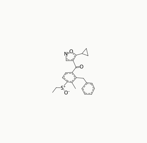 CC[S+]([O-])c1ccc(C(=O)c2cnoc2C2CC2)c(Cc2ccccc2)c1C